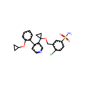 NS(=O)(=O)c1ccc(Cl)c(COC2(c3cnccc3-c3ccccc3OC3CC3)CC2)c1